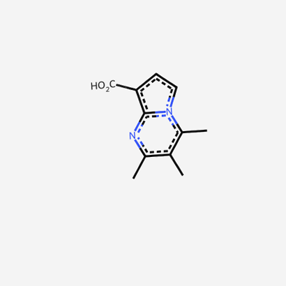 Cc1nc2c(C(=O)O)ccn2c(C)c1C